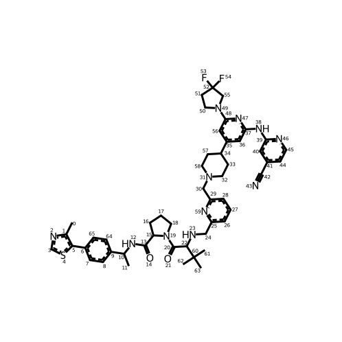 Cc1ncsc1-c1ccc(C(C)NC(=O)C2CCCN2C(=O)C(NCc2cccc(CN3CCC(c4cc(Nc5cc(C#N)ccn5)nc(N5CCC(F)(F)C5)c4)CC3)n2)C(C)(C)C)cc1